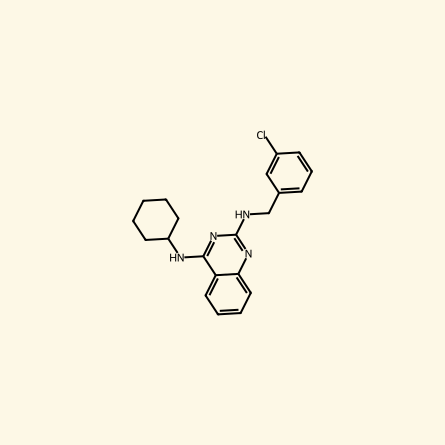 Clc1cccc(CNc2nc(NC3CCCCC3)c3ccccc3n2)c1